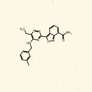 CCc1nnc(-c2onc3c(C(N)=O)cccc23)nc1NCc1cccc(F)c1